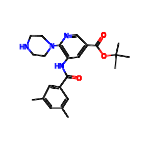 Cc1cc(C)cc(C(=O)Nc2cc(C(=O)OC(C)(C)C)cnc2N2CCNCC2)c1